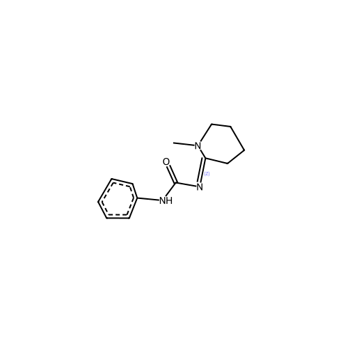 CN1CCCC/C1=N/C(=O)Nc1ccccc1